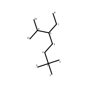 [CH2]C(C)(C)CCC(CC)C(C)C